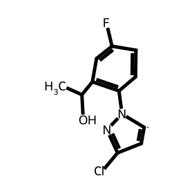 CC(O)c1cc(F)ccc1-n1[c]cc(Cl)n1